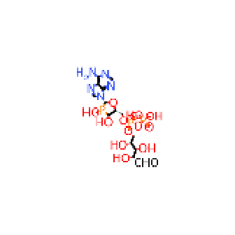 Nc1ncnc2c1ncn2[C@@H]1O[C@H](COP(=O)(OC[C@@H](O)[C@@H](O)[C@@H](O)C=O)OP(=O)(O)O)[C@@H](O)[P@@]1O